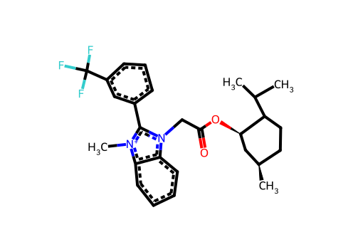 CC(C)C1CC[C@@H](C)C[C@H]1OC(=O)Cn1c(-c2cccc(C(F)(F)F)c2)[n+](C)c2ccccc21